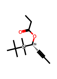 CC#C[C@@H](OC(=O)CC)[Si](C)(C)C(C)(C)C